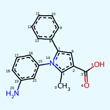 Cc1c(C(=O)O)cc(-c2ccccc2)n1-c1cccc(N)c1